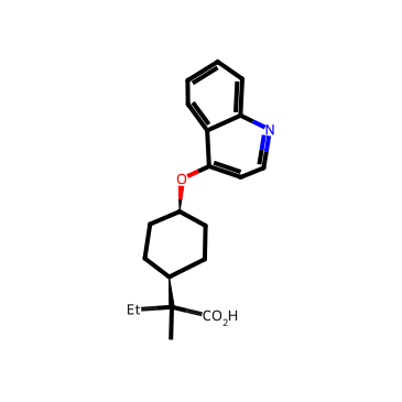 CCC(C)(C(=O)O)[C@H]1CC[C@@H](Oc2ccnc3ccccc23)CC1